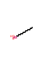 CCCCCCCCCCCCCCCO[PH](=O)O